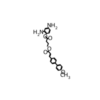 COc1ccc(-c2ccc(/C=C/C(=O)OCCCC(=O)Oc3ccc(N)cc3N)cc2)cc1